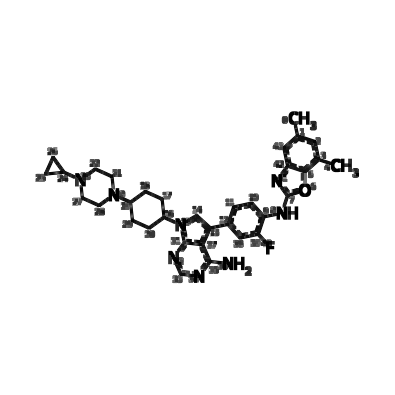 Cc1cc(C)c2oc(Nc3ccc(-c4cn(C5CCC(N6CCN(C7CC7)CC6)CC5)c5ncnc(N)c45)cc3F)nc2c1